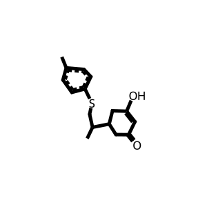 Cc1ccc(SCC(C)C2CC(=O)C=C(O)C2)cc1